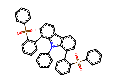 O=S(=O)(c1ccccc1)c1ccccc1-c1cccc2c3cccc(-c4ccccc4S(=O)(=O)c4ccccc4)c3n(-c3ccccc3)c12